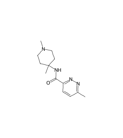 Cc1ccc(C(=O)NC2(C)CCN(C)CC2)nn1